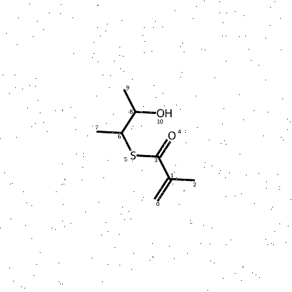 C=C(C)C(=O)SC(C)C(C)O